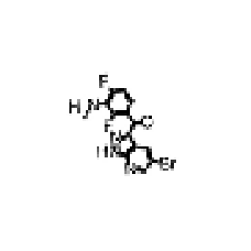 Nc1c(F)ccc(C(=O)c2n[nH]c3ncc(Br)cc23)c1F